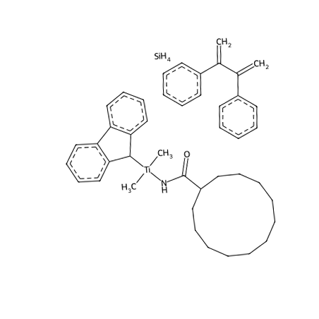 C=C(C(=C)c1ccccc1)c1ccccc1.[CH3][Ti]([CH3])([NH]C(=O)C1CCCCCCCCCCC1)[CH]1c2ccccc2-c2ccccc21.[SiH4]